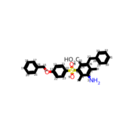 Cc1c(N)c(C)c(S(=O)(=O)c2ccc(OCc3ccccc3)cc2)c(C(=O)O)c1Cc1ccccc1